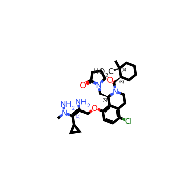 CN(N)/C(=C(\N)COc1ccc(Cl)c2c1[C@@H](CN1CCCC1=O)N(C(=O)[C@@H]1CCCC[C@]1(C)C(=O)O)CC2)C1CC1